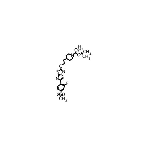 CC(C)(C)OC(=O)N1CCC(CCOc2nn3cc(-c4ccc(S(C)(=O)=O)cc4F)nc3s2)CC1